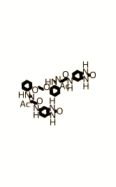 CC(=O)/C(=N\Nc1ccccc1OCCOc1ccccc1N/N=C(\C(C)=O)C(=O)Nc1ccc2[nH]c(=O)[nH]c2c1)C(=O)Nc1ccc2[nH]c(=O)[nH]c2c1